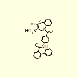 CCC1=C(S(=O)(=O)O)CN(C(=O)c2ccc(NC(=O)c3ccccc3-c3ccccc3)cc2)c2ccccc2S1